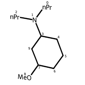 CCCN(CCC)C1CCCC(OC)C1